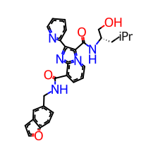 CC(C)C[C@@H](CO)NC(=O)c1c(-c2ccccn2)nc2c(C(=O)NCc3ccc4occc4c3)cccn12